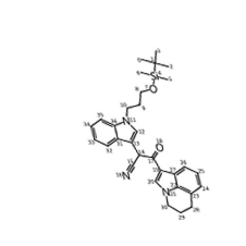 CC(C)(C)[Si](C)(C)OCCCn1cc(C(C#N)C(=O)c2cn3c4c(cccc24)CCC3)c2ccccc21